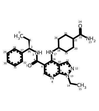 CC[C@@H](NC(=O)c1cnc2c(cnn2CC)c1NC1CCC(C(N)=O)CC1)c1ccccc1